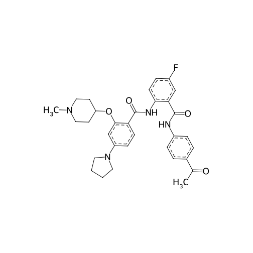 CC(=O)c1ccc(NC(=O)c2cc(F)ccc2NC(=O)c2ccc(N3CCCC3)cc2OC2CCN(C)CC2)cc1